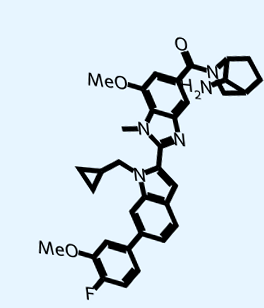 COc1cc(-c2ccc3cc(-c4nc5cc(C(=O)N6CC7CCC6C7N)cc(OC)c5n4C)n(CC4CC4)c3c2)ccc1F